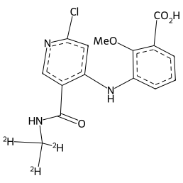 [2H]C([2H])([2H])NC(=O)c1cnc(Cl)cc1Nc1cccc(C(=O)O)c1OC